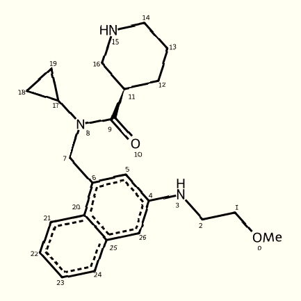 COCCNc1cc(CN(C(=O)[C@@H]2CCCNC2)C2CC2)c2ccccc2c1